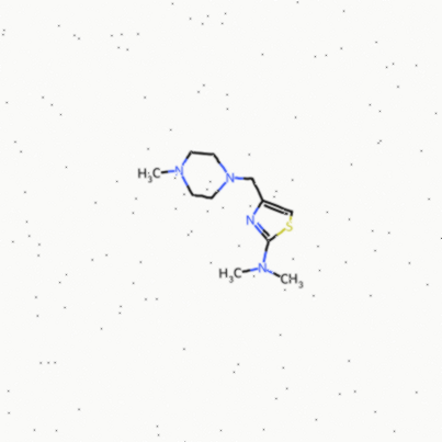 CN1CCN(Cc2csc(N(C)C)n2)CC1